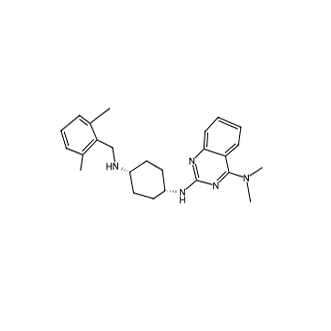 Cc1cccc(C)c1CN[C@H]1CC[C@@H](Nc2nc(N(C)C)c3ccccc3n2)CC1